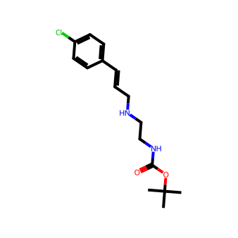 CC(C)(C)OC(=O)NCCNC/C=C/c1ccc(Cl)cc1